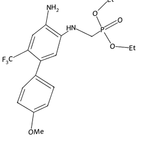 CCOP(=O)(CNc1cc(-c2ccc(OC)cc2)c(C(F)(F)F)cc1N)OCC